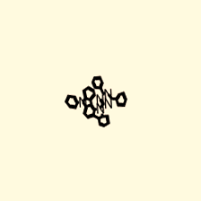 C1=CC2c3ccc4c(c3N(c3nc(-c5ccccc5)nc(-c5ccccc5)n3)C2C=C1)c1ccccc1n4-c1ccccc1